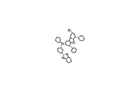 Brc1cc(-c2ccccc2)c2oc3c(-c4ccccc4)cc(N(c4ccccc4)c4cccc(C5N=c6ccccc6=N5)c4)cc3c2c1